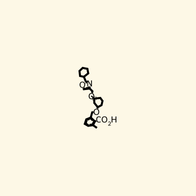 Cc1cccc(COC2CCC[C@H](OCc3coc(C4CCCCC4)n3)C2)c1C(=O)O